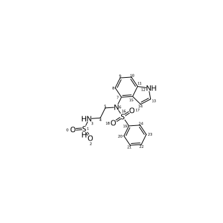 O=[SH](=O)NCCN(c1cccc2[nH]ccc12)S(=O)(=O)c1ccccc1